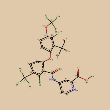 [2H]C([2H])([2H])c1c(Oc2ccc(C(F)(F)F)c(F)c2C(=O)Nc2ccnc(C(=O)OC)c2)ccc(OC(F)(F)F)c1F